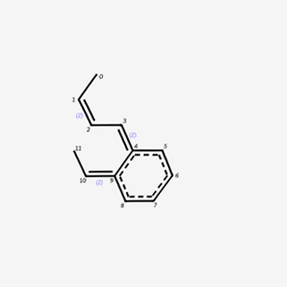 C\C=C/C=c1/cccc/c1=C/C